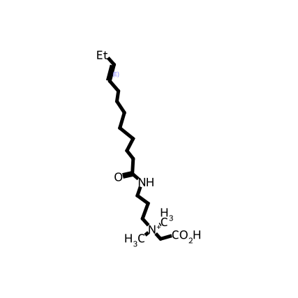 CC/C=C/CCCCCCCC(=O)NCCC[N+](C)(C)CC(=O)O